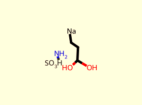 NS(=O)(=O)O.OC(O)C[CH2][Na]